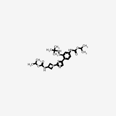 CC(C)OC(=O)Nc1ccc(-c2cnc(N3CC(NC(=O)OC(C)C)C3)s2)c(SNC(C)(C)C)c1